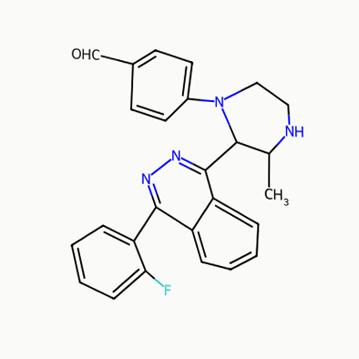 CC1NCCN(c2ccc(C=O)cc2)C1c1nnc(-c2ccccc2F)c2ccccc12